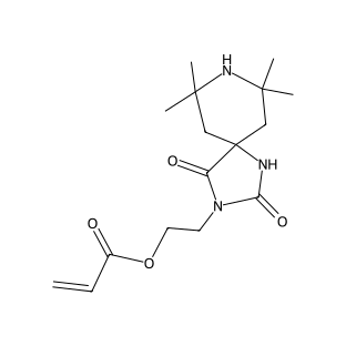 C=CC(=O)OCCN1C(=O)NC2(CC(C)(C)NC(C)(C)C2)C1=O